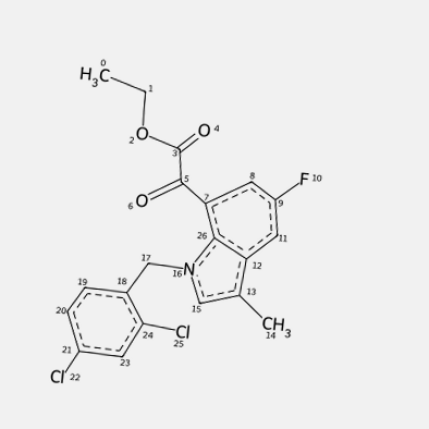 CCOC(=O)C(=O)c1cc(F)cc2c(C)cn(Cc3ccc(Cl)cc3Cl)c12